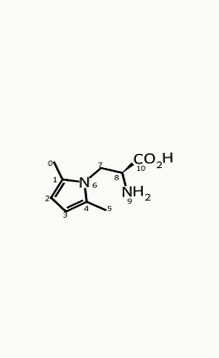 Cc1ccc(C)n1C[C@H](N)C(=O)O